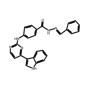 O=C(NN=Cc1ccccc1)c1ccc(Nc2nccc(-c3c[nH]c4ccccc34)n2)cc1